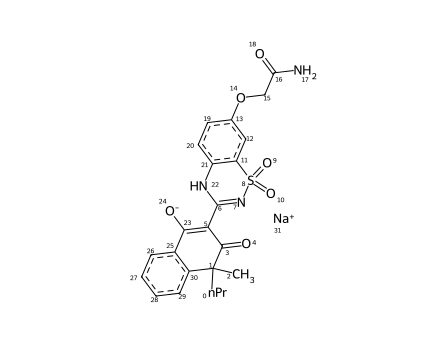 CCCC1(C)C(=O)C(C2=NS(=O)(=O)c3cc(OCC(N)=O)ccc3N2)=C([O-])c2ccccc21.[Na+]